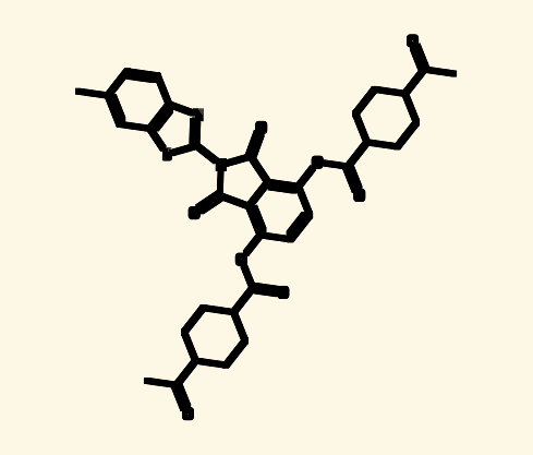 CC(=O)C1CCC(C(=O)Oc2ccc(OC(=O)C3CCC(C(C)=O)CC3)c3c2C(=O)N(c2nc4ccc(C)cc4s2)C3=O)CC1